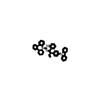 C=C/C(=C(\N=C(/N)N1c2ccccc2-c2ccccc2C2C=CC=CC21)c1ccccc1)c1ccc(-n2c3ccccc3c3ccccc32)cc1